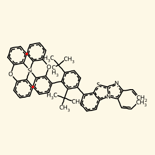 C=Cc1nc2sc3c(-c4ccc(C(C)(C)C)c(-c5cccc6c5Oc5ccccc5[Si]65c6ccccc6Oc6ccccc65)c4C(C)(C)C)cccc3n2c1/C=C\C